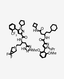 CCCn1nc(C(=O)NC(CCC2CCCCC2)CC(=O)NC2CCC2)cc1-c1c(OC)cccc1OC.O=C(NC(CCN1CC2C(C1)C2(F)F)Cc1nnn[nH]1)c1cc(-c2ccccc2C(F)(F)F)n(C2CCCC2)n1